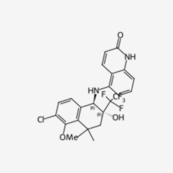 COc1c(Cl)ccc2c1C(C)(C)C[C@](O)(C(F)(F)C(F)(F)F)[C@@H]2Nc1cccc2[nH]c(=O)ccc12